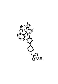 COC(=O)C[C@H]1CC[C@H](c2ccc(N(C[C@@H](C)O[Si](C)(C)C(C)C)C(=O)c3c(Cl)ncnc3Cl)cc2)CC1